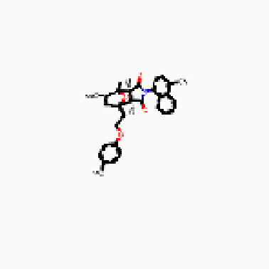 CO[C@@H]1CC2(CCOc3ccc(C#N)cc3)OC1(C)[C@H]1C(=O)N(c3ccc(C#N)c4ccccc34)C(=O)[C@H]12